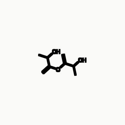 C=C(OC(=C)C(C)O)C(C)O